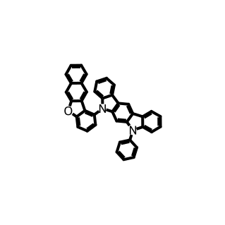 c1ccc(-n2c3ccccc3c3cc4c5ccccc5n(-c5cccc6oc7cc8ccccc8cc7c56)c4cc32)cc1